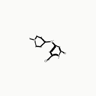 CN1CCC(Oc2cc(Cl)nc(Cl)c2)CC1